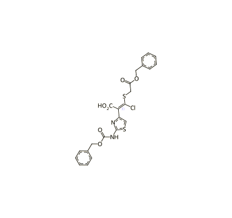 O=C(CS/C(Cl)=C(\C(=O)O)c1csc(NC(=O)OCc2ccccc2)n1)OCc1ccccc1